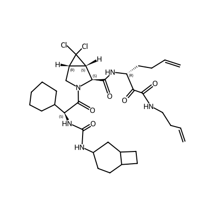 C=CCCNC(=O)C(=O)[C@@H](CCC=C)NC(=O)[C@@H]1[C@@H]2[C@H](CN1C(=O)[C@@H](NC(=O)NC1CCC3CCC3C1)C1CCCCC1)C2(Cl)Cl